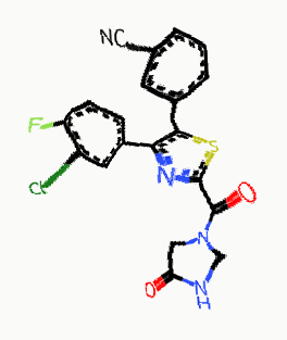 N#Cc1cccc(-c2sc(C(=O)N3CNC(=O)C3)nc2-c2ccc(F)c(Cl)c2)c1